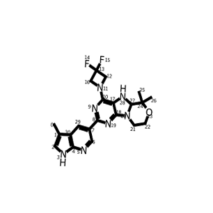 Cc1c[nH]c2ncc(-c3nc(N4CC(F)(F)C4)c4c(n3)N3CCOC(C)(C)C3N4)cc12